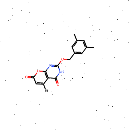 CCc1cc(=O)oc2nc(OCc3cc(C)cc(C)c3)[nH]c(=O)c12